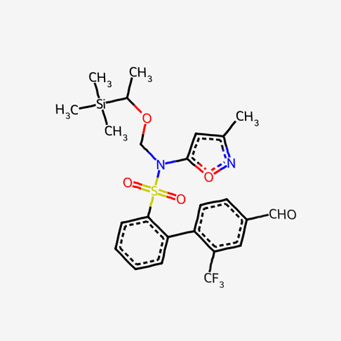 Cc1cc(N(COC(C)[Si](C)(C)C)S(=O)(=O)c2ccccc2-c2ccc(C=O)cc2C(F)(F)F)on1